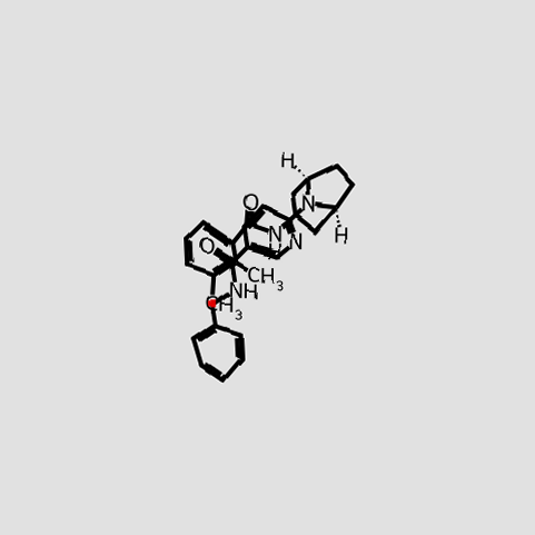 Cc1cccc(C(=O)N[C@H]2C[C@H]3CC[C@@H](C2)N3c2ccc(C(=O)NCc3ccccc3)cn2)c1C